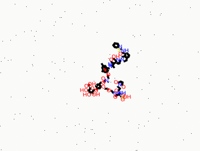 Cc1c(-c2ccc(N3CCc4cccc(C(=O)Nc5nc6ccccc6s5)c4C3)nc2C(=O)O)cnn1CC12CC3(C)CC(C)(C1)CC(OCCN(C)C(=O)OCc1ccc(O[C@@H]4O[C@H](C(=O)O)[C@H](O)[C@H](O)[C@@H]4O)cc1OCCOCCNC(=O)[C@H](CS(=O)(=O)O)NC(=O)CCN1C(=O)C=CC1=O)(C3)C2